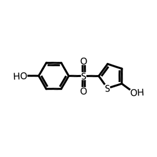 O=S(=O)(c1ccc(O)cc1)c1ccc(O)s1